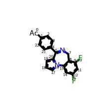 CC(=O)c1ccc(C2=NCc3c(F)cc(F)cc3-n3cccc32)cc1